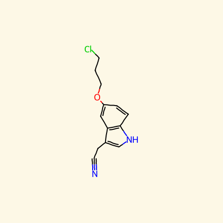 N#CCc1c[nH]c2ccc(OCCCCl)cc12